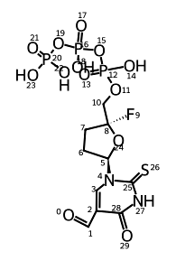 O=Cc1cn([C@H]2CC[C@@](F)(COP(=O)(O)OP(=O)(O)OP(=O)(O)O)O2)c(=S)[nH]c1=O